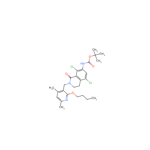 CCCCOc1nc(C)cc(C)c1CN1CCc2c(Cl)cc(NC(=O)OC(C)(C)C)c(Cl)c2C1=O